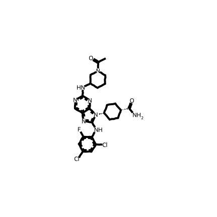 CC(=O)N1CCCC(Nc2ncc3nc(Nc4c(F)cc(Cl)cc4Cl)n([C@H]4CC[C@@H](C(N)=O)CC4)c3n2)C1